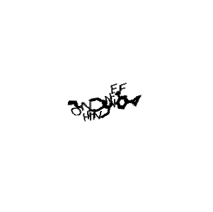 C=CC(=O)N1CCc2nn(-c3ccc(C4CC4)cc3C(F)(F)F)c3c2[C@H](C1)NCC3